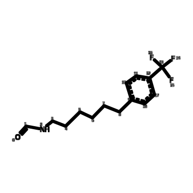 O=CNCCCCCCc1ccc(C(F)(F)F)cc1